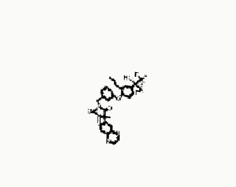 CCCc1cc(C(O)(C(F)(F)F)C(F)(F)F)ccc1Oc1cccc(CN2C(=O)NC(C)(c3ccc4nccnc4c3)C2=O)c1